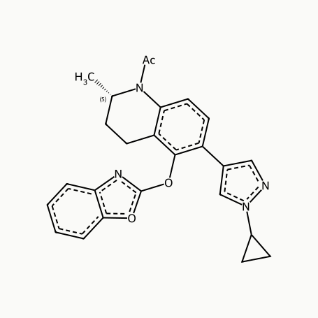 CC(=O)N1c2ccc(-c3cnn(C4CC4)c3)c(Oc3nc4ccccc4o3)c2CC[C@@H]1C